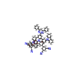 N#Cc1cc(C#N)cc(-c2ccc3c(c2)c2cc(-c4cc(C#N)cc(C#N)c4)ccc2n3-c2c(-c3cccc(-n4c5ccccc5c5ccccc54)c3)cc(-c3nc(-c4ccccc4)cc(-c4ccccc4)n3)cc2-c2cccc(-n3c4ccccc4c4ccccc43)c2)c1